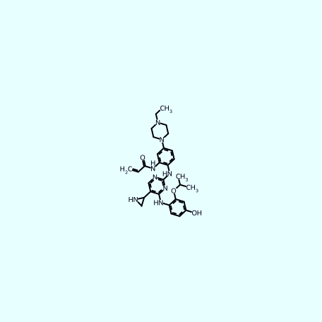 C=CC(=O)Nc1cc(N2CCN(CC)CC2)ccc1Nc1ncc(C2CN2)c(Nc2ccc(O)cc2OC(C)C)n1